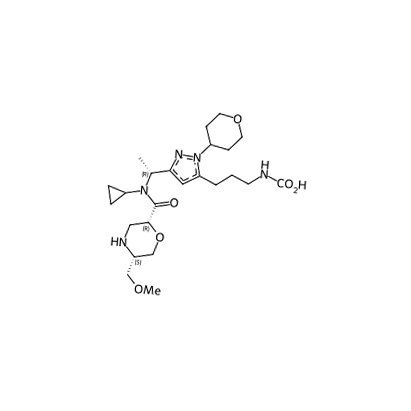 COC[C@H]1CO[C@@H](C(=O)N(C2CC2)[C@H](C)c2cc(CCCNC(=O)O)n(C3CCOCC3)n2)CN1